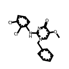 COc1cn(Cc2ccccc2)c(Nc2cccc(Cl)c2Cl)nc1=O